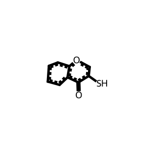 O=c1c(S)coc2ccccc12